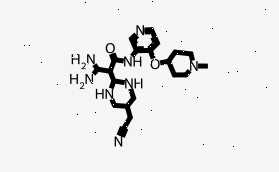 CN1CCC(Oc2ccncc2NC(=O)C(C(N)N)C2NCC(CC#N)CN2)CC1